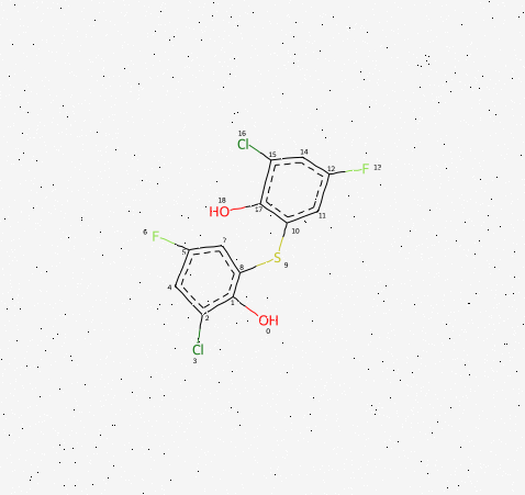 Oc1c(Cl)cc(F)cc1Sc1cc(F)cc(Cl)c1O